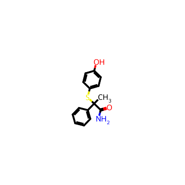 CC(Sc1ccc(O)cc1)(C(N)=O)c1ccccc1